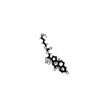 C[C@]12C=CC(=O)C=C1CC[C@@H]1[C@@H]2C(=O)C[C@@]2(C)[C@H]1CC[C@]2(O)C(=O)COC(=O)OCCCCN